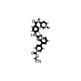 CN1CCC(N(C)C(=O)c2ccc(Nc3nc4c(C5=CCN(C(=O)OCC#N)CC5)cccn4n3)cc2)CC1